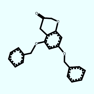 O=C1COc2cc(OCc3ccccc3)cc(OCc3ccccc3)c2C1